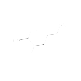 CCC(CCCN)C(C)N